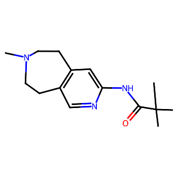 CN1CCc2cnc(NC(=O)C(C)(C)C)cc2CC1